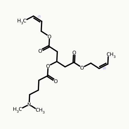 C/C=C\COC(=O)CC(CC(=O)OC/C=C\C)OC(=O)CCCN(C)C